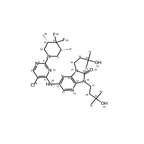 C[C@@H]1CN(c2ncc(Cl)c(Nc3cnc4c(c3)n(CCC(C)(C)O)c(=O)n4CCC(C)(C)O)n2)C[C@H](C)C1(F)F